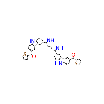 N=C(CCCC(=N)c1ccc2[nH]c3ccc(C(=O)c4cccs4)cc3c2c1)c1ccc2[nH]c3ccc(C(=O)c4cccs4)cc3c2c1